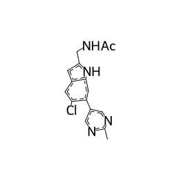 CC(=O)NCc1cc2cc(Cl)c(-c3cnc(C)nc3)cc2[nH]1